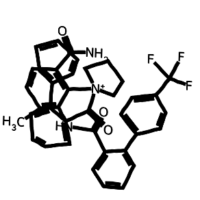 Cc1ccc(C(N)=O)c([N+]2(C(=O)c3ccccc3-c3ccccc3)CCCC2)c1NC(=O)c1ccccc1-c1ccc(C(F)(F)F)cc1